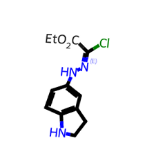 CCOC(=O)/C(Cl)=N\Nc1ccc2c(c1)CCN2